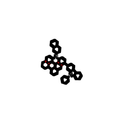 c1ccc(-n2c3ccccc3c3ccc(-c4ccc(N(c5ccc6ccccc6c5)c5ccccc5-c5cccc6cccc(C7CCCCC7)c56)cc4)cc32)cc1